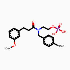 CCCCCCCCCCOc1cccc(CCC(=O)N(CCOP(=O)(O)O)Cc2ccc(NC)cc2)c1